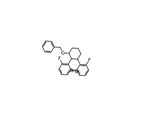 Fc1cccc(Br)c1[C]1CCCC(OCc2ccccc2)C1c1c(F)cccc1Br